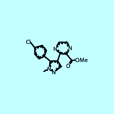 COC(=O)c1nccnc1-c1cnn(C)c1-c1ccc(Cl)cc1